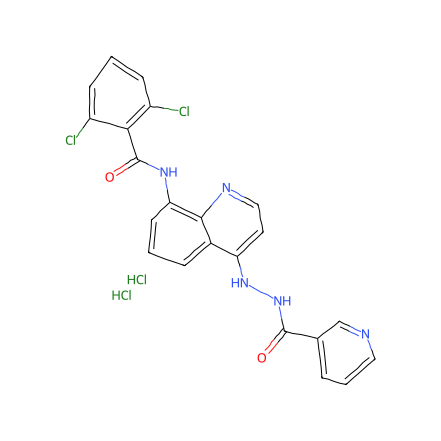 Cl.Cl.O=C(NNc1ccnc2c(NC(=O)c3c(Cl)cccc3Cl)cccc12)c1cccnc1